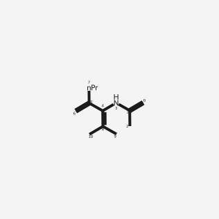 C=C(C)NC(C(=C)CCC)=C(C)C